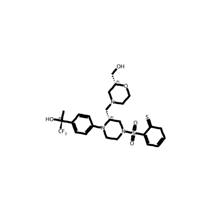 C[C@@](O)(c1ccc(N2CCN(S(=O)(=O)C3=CC=CCC3=S)C[C@H]2CN2CCO[C@@H](CO)C2)cc1)C(F)(F)F